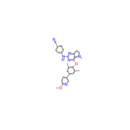 COc1ccc(-c2cc(C)c(Oc3nc(Nc4ccc(C#N)cc4)nc4ccn(C)c34)c(C)c2)cn1